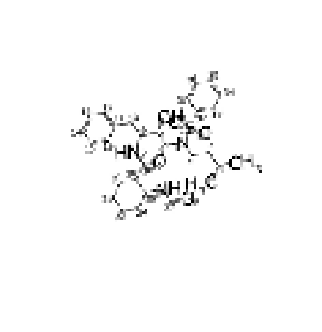 CC(C)CCN(CC(O)C(Cc1ccccc1)NC(=O)C1CCCCC1NC=O)S(=O)(=O)c1ccccc1